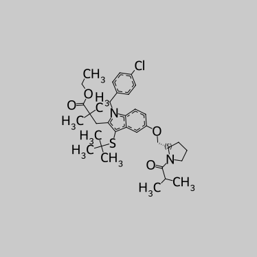 CCOC(=O)C(C)(C)Cc1c(SC(C)(C)C)c2cc(OC[C@@H]3CCCN3C(=O)C(C)C)ccc2n1Cc1ccc(Cl)cc1